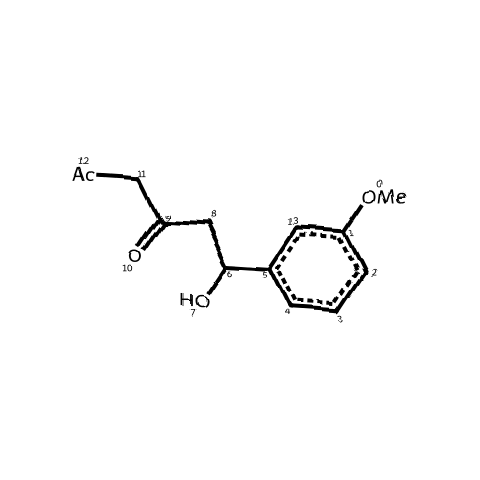 COc1cccc(C(O)CC(=O)CC(C)=O)c1